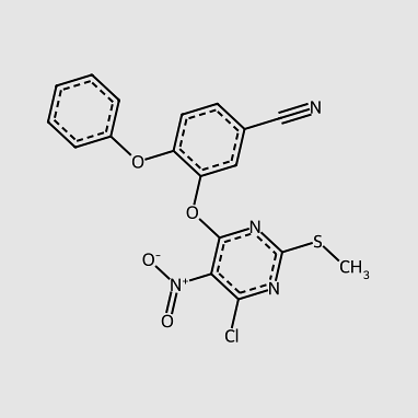 CSc1nc(Cl)c([N+](=O)[O-])c(Oc2cc(C#N)ccc2Oc2ccccc2)n1